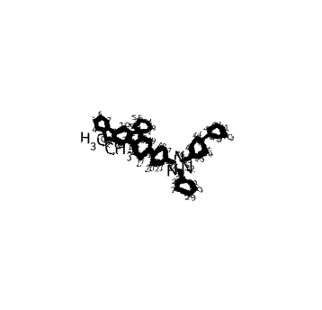 CC1(C)c2ccccc2-c2cc3c(cc21)-c1ccc(-c2ccc(-c4nc(-c5ccccc5)nc(-c5ccc(-c6ccccc6)cc5)n4)cc2)cc1C31CCCCC1